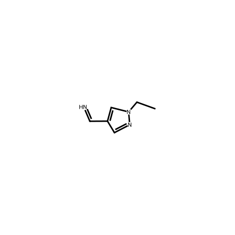 CCn1cc(C=N)cn1